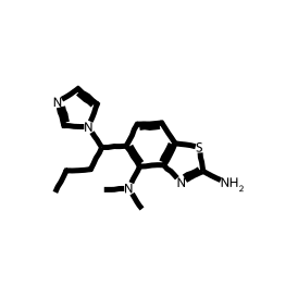 CCCC(c1ccc2sc(N)nc2c1N(C)C)n1ccnc1